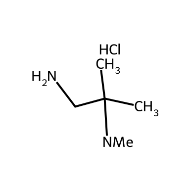 CNC(C)(C)CN.Cl